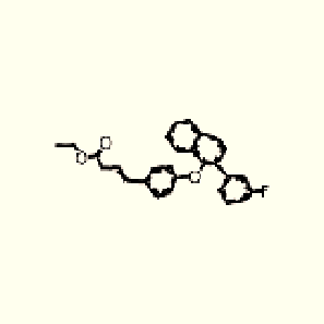 CCOC(=O)CC=Cc1ccc(Oc2c(-c3cccc(F)c3)ccc3ccccc23)cc1